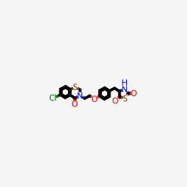 O=C1NC(Cc2ccc(OCCN3CSc4ccc(Cl)cc4C3=O)cc2)C(=O)S1